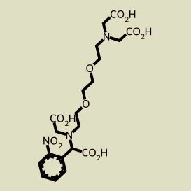 O=C(O)CN(CCOCCOCCN(CC(=O)O)C(C(=O)O)c1ccccc1[N+](=O)[O-])CC(=O)O